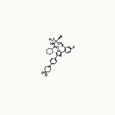 CC(C)(C#N)NC(=O)[C@@H]1CCCC[C@H]1c1oc(-c2ccc(F)cc2F)nc1-c1ccc(N2CCS(=O)(=O)CC2)cc1